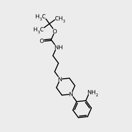 CC(C)(C)OC(=O)NCCCN1CCN(c2ccccc2N)CC1